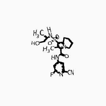 Cc1c(S(=O)(=O)NC(C)CO)c2n(c1C(=O)Nc1cc(F)nc(C#N)c1)CCCC2